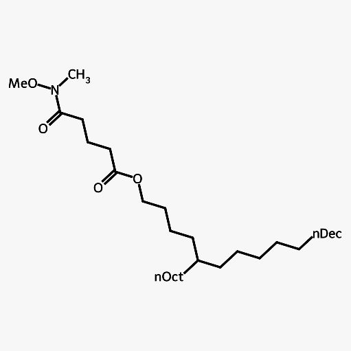 CCCCCCCCCCCCCCCC(CCCCCCCC)CCCCOC(=O)CCCC(=O)N(C)OC